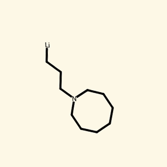 [Li][CH2]CCN1CCCCCCC1